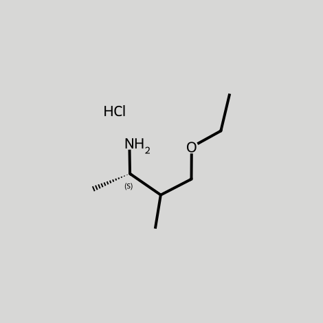 CCOCC(C)[C@H](C)N.Cl